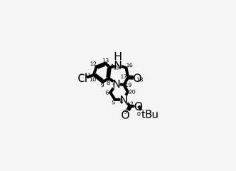 CC(C)(C)OC(=O)N1CCN2c3cc(Cl)ccc3NCC(=O)C2C1